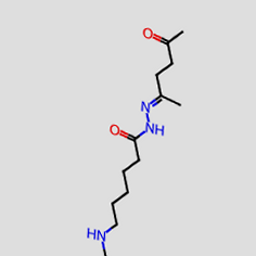 CNCCCCCC(=O)N/N=C(\C)CCC(C)=O